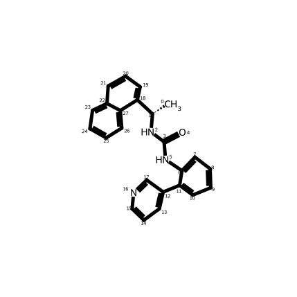 C[C@H](NC(=O)Nc1ccccc1-c1cccnc1)c1cccc2ccccc12